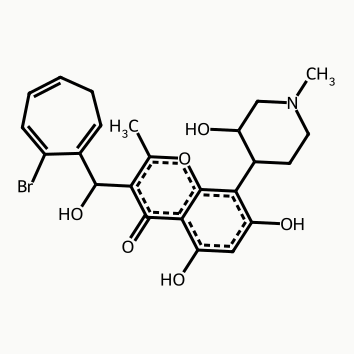 Cc1oc2c(C3CCN(C)CC3O)c(O)cc(O)c2c(=O)c1C(O)C1=CCC=CC=C1Br